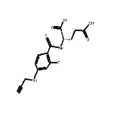 C#CCNc1ccc(C(=O)N[C@@H](CCC(=O)O)C(=O)O)c(F)c1